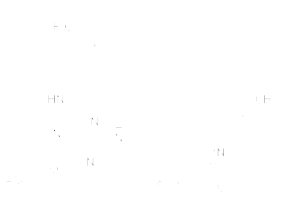 CC1CCN(C(=O)c2ccc(CNc3nc(Nc4cccc(C(F)(F)F)c4)nc(OCC(F)(F)F)n3)cc2)CC1